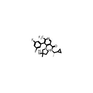 C[C@H](NC(=O)c1cnc(C(F)(F)F)c(-c2cc(F)cc(F)c2)c1N1CCC(C)(N)C1)C1CC1